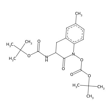 Cc1ccc2c(c1)CC(NC(=O)OC(C)(C)C)C(=O)N2OC(=O)OC(C)(C)C